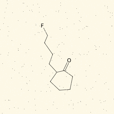 O=C1CCCCC1CCCCF